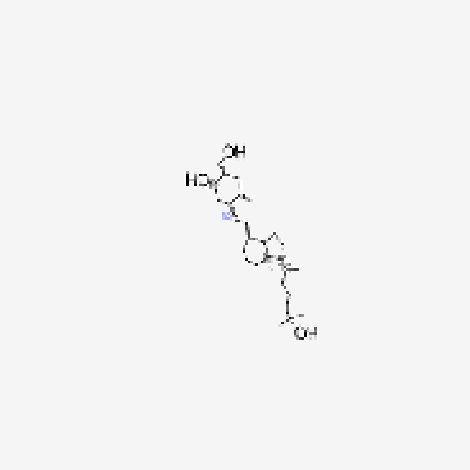 C=C1CC(=CO)[C@H](O)C/C1=C/C=C1CCC[C@@]2(C)C1CC[C@@H]2[C@@H](C)CCCC(C)(C)O